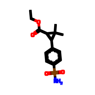 CCOC(=O)C1C(c2ccc(S(N)(=O)=O)cc2)C1(C)C